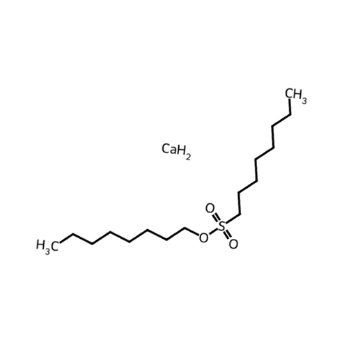 CCCCCCCCOS(=O)(=O)CCCCCCCC.[CaH2]